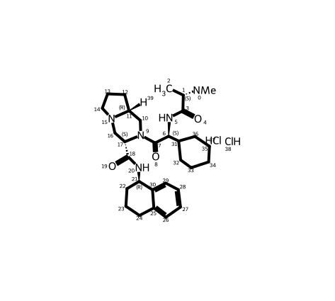 CN[C@@H](C)C(=O)N[C@H](C(=O)N1C[C@H]2CCCN2C[C@H]1C(=O)N[C@@H]1CCCc2ccccc21)C1CCCCC1.Cl.Cl